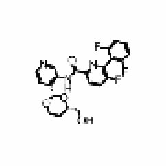 O=C(Nc1cnccc1[C@H]1OCC[C@@H](CO)O1)c1ccc(F)c(-c2c(F)cccc2F)n1